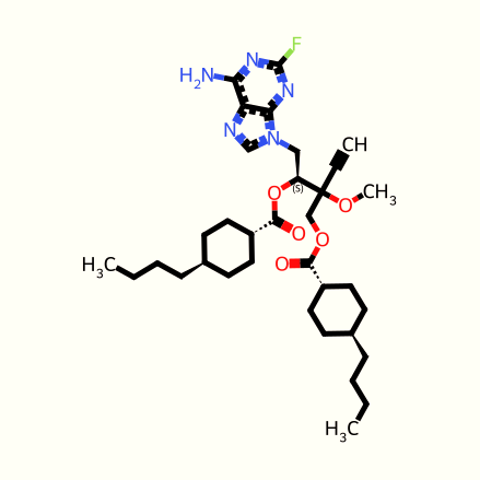 C#CC(COC(=O)[C@H]1CC[C@H](CCCC)CC1)(OC)[C@H](Cn1cnc2c(N)nc(F)nc21)OC(=O)[C@H]1CC[C@H](CCCC)CC1